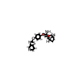 NC(=O)N1C[C@H]2CC[C@@H](C1)N2CCOc1ccc(Oc2nc3cnccc3s2)cc1